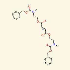 CN(CCOC(=O)/C=C/C(=O)OCCN(C)C(=O)OCc1ccccc1)C(=O)OCc1ccccc1